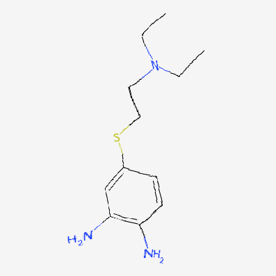 CCN(CC)CCSc1ccc(N)c(N)c1